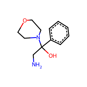 NCC(O)(c1ccccc1)N1CCOCC1